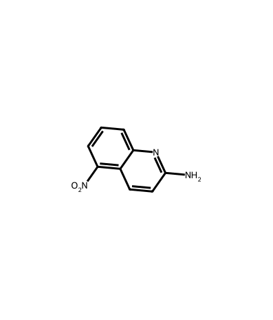 Nc1ccc2c([N+](=O)[O-])cccc2n1